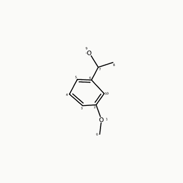 COc1cccc(C(C)[O])c1